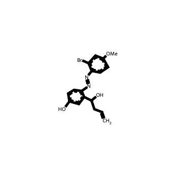 C=CCC(O)c1cc(O)ccc1/N=N/c1ccc(OC)cc1Br